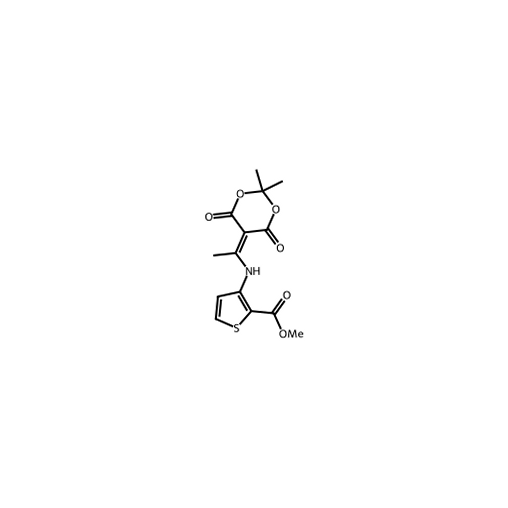 COC(=O)c1sccc1NC(C)=C1C(=O)OC(C)(C)OC1=O